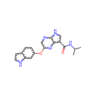 CC(C)NC(=O)c1c[nH]c2ncc(Oc3ccc4cc[nH]c4c3)nc12